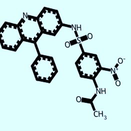 CC(=O)Nc1ccc(S(=O)(=O)Nc2ccc3nc4ccccc4c(-c4ccccc4)c3c2)cc1[N+](=O)[O-]